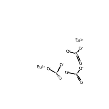 O=S([O-])[O-].O=S([O-])[O-].O=S([O-])[O-].[Eu+3].[Eu+3]